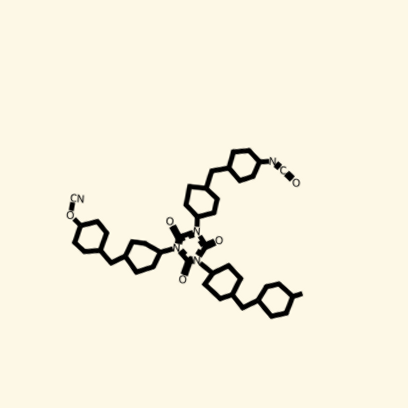 CC1CCC(CC2CCC(n3c(=O)n(C4CCC(CC5CCC(N=C=O)CC5)CC4)c(=O)n(C4CCC(CC5CCC(OC#N)CC5)CC4)c3=O)CC2)CC1